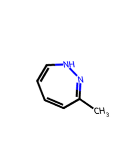 CC1=NNC=CC=C1